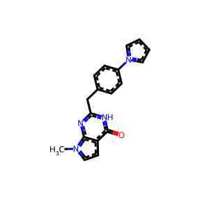 Cn1ccc2c(=O)[nH]c(Cc3ccc(-n4cccc4)cc3)nc21